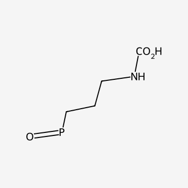 O=PCCCNC(=O)O